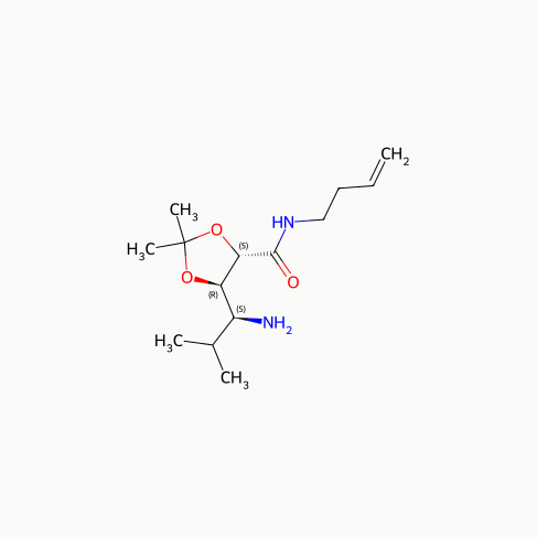 C=CCCNC(=O)[C@H]1OC(C)(C)O[C@@H]1[C@@H](N)C(C)C